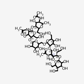 CC(=O)N/C(=C(\O)[C@@H](CCO)O[C@@H]1OC(CO)[C@H](CO)C(O)C1O)[C@@H](O)OC1C(O)[C@H](O)C(CO)O[C@@H]1OCC1O[C@@H](O[C@@H]2C(CO)O[C@@H](O[C@@H]3C(CO)O[C@@H](C)C(NC(C)=O)C3O)C(NC(C)=O)C2O)C(O)C(O)[C@@H]1O